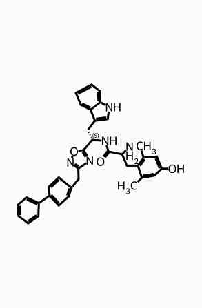 Cc1cc(O)cc(C)c1CC(N)C(=O)N[C@@H](Cc1c[nH]c2ccccc12)c1nc(Cc2ccc(-c3ccccc3)cc2)no1